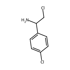 NC(CCl)c1ccc(Cl)cc1